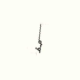 CCCCCCCCCCCCCCCCCCCCCCSc1ccc(C(=O)/C=C/c2cc(OCCCCCCC)cc(OCCCCCCC)c2)cc1